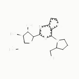 OCC1CCCN1c1nc(C2O[C@H](CO)[C@@H](O)[C@H]2O)nc2ccoc12